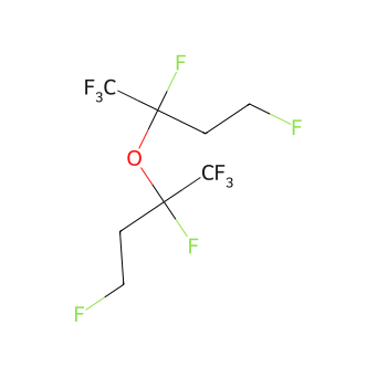 FCCC(F)(OC(F)(CCF)C(F)(F)F)C(F)(F)F